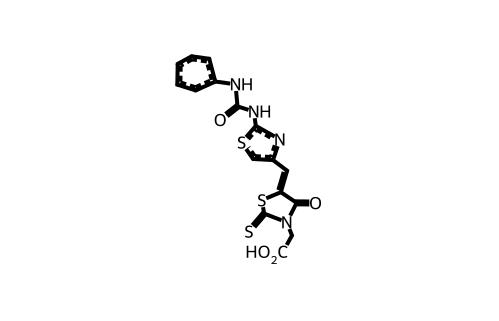 O=C(O)CN1C(=O)C(=Cc2csc(NC(=O)Nc3ccccc3)n2)SC1=S